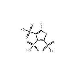 O=S(=O)(O)c1sc(F)c(S(=O)(=O)O)c1S(=O)(=O)O